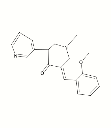 COc1ccccc1C=C1CN(C)CC(c2cccnc2)C1=O